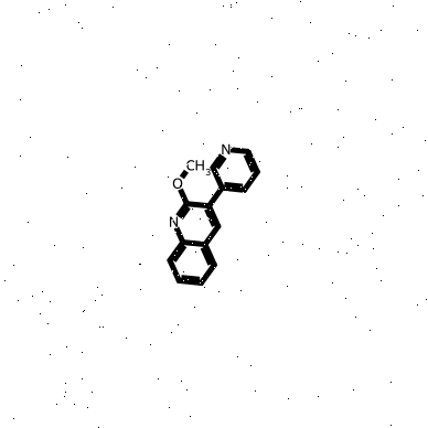 COc1nc2ccccc2cc1-c1cccnc1